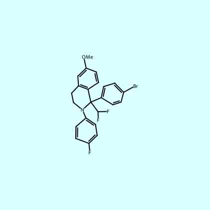 COc1ccc2c(c1)CCN(c1ccc(F)cc1)C2(c1ccc(Br)cc1)C(F)F